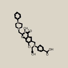 C#CCN(Cc1cc2c(=O)n(C)c(CN3CCN(c4ccccc4)CC3)nc2cc1Cl)c1ccc(C(=O)O)cc1